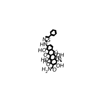 C[C@H]1c2ccc(Nc3ncc(-c4ccccc4)s3)c(O)c2C(=O)C2=C(O)[C@]3(O)C(=O)C(C(N)=O)=C(O)[C@@H](N(C)C)[C@@H]3[C@@H](O)[C@@H]21